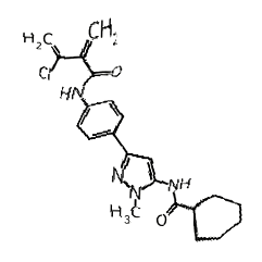 C=C(Cl)C(=C)C(=O)Nc1ccc(-c2cc(NC(=O)C3CCCCC3)n(C)n2)cc1